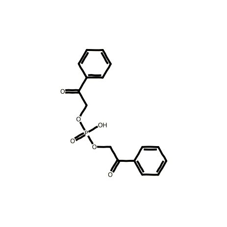 O=C(COP(=O)(O)OCC(=O)c1ccccc1)c1ccccc1